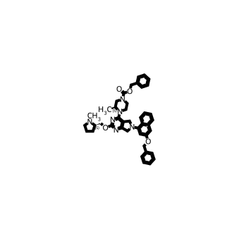 C[C@H]1CN(C(=O)OCc2ccccc2)CCN1c1nc(OC[C@@H]2CCCN2C)nc2c1CN(c1cc(OCc3ccccc3)cc3ccccc13)C2